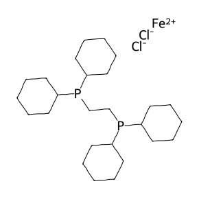 C1CCC(P(CCP(C2CCCCC2)C2CCCCC2)C2CCCCC2)CC1.[Cl-].[Cl-].[Fe+2]